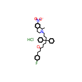 CC1c2cc([N+](=O)[O-])ccc2CCN1CCCC(CCCC(=O)CCc1ccc(F)cc1)(c1ccccc1)c1ccccc1.Cl